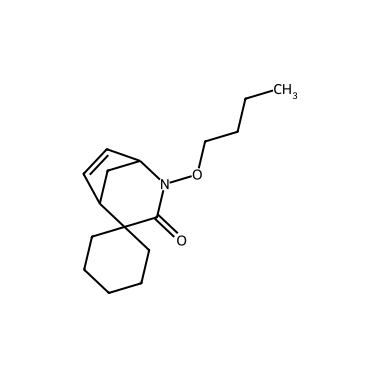 CCCCON1C(=O)C2(CCCCC2)C2C=CC1C2